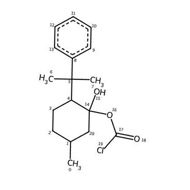 CC1CCC(C(C)(C)c2ccccc2)C(O)(OC(=O)Cl)C1